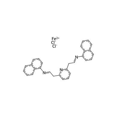 C(Cc1cccc(CC=Nc2cccc3ccccc23)n1)=Nc1cccc2ccccc12.[Cl-].[Cl-].[Fe+2]